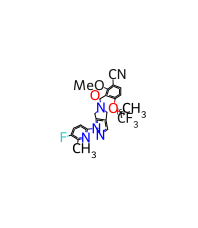 COc1c(C#N)ccc(O[C@@H](C)C(F)(F)F)c1C(=O)N1Cc2cnn(-c3ccc(F)c(C)n3)c2C1